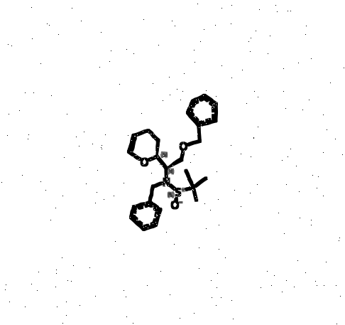 CC(C)(C)[S@@+]([O-])N(Cc1ccccc1)[C@H](COCc1ccccc1)[C@@H]1CCC=CO1